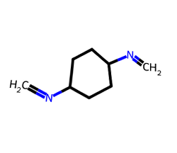 C=NC1CCC(N=C)CC1